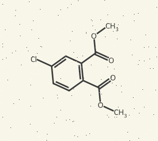 COC(=O)c1ccc(Cl)cc1C(=O)OC